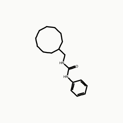 O=C(NCC1CCCCCCCCC1)Nc1ccccc1